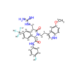 COc1ccc2[nH]cc(CCN(C(=O)CCNC(=N)N)C(C(=O)Nc3ccc(F)cc3)c3ccc(C(F)(F)F)cc3)c2c1